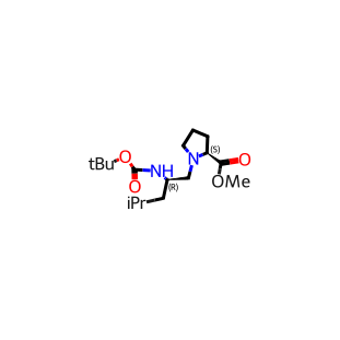 COC(=O)[C@@H]1CCCN1C[C@@H](CC(C)C)NC(=O)OC(C)(C)C